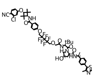 Cc1ncsc1-c1ccc([C@H](C)NC(=O)[C@@H]2C[C@@H](O)CN2C(=O)C(NC(=O)COCC(F)(F)C(F)(F)C(F)(F)COc2ccc(C(=O)N[C@H]3C(C)(C)[C@H](Oc4ccc(C#N)c(Cl)c4)C3(C)C)cc2)C(C)(C)C)cc1